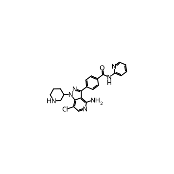 Nc1ncc(Cl)c2c1c(-c1ccc(C(=O)Nc3ccccn3)cc1)nn2C1CCCNC1